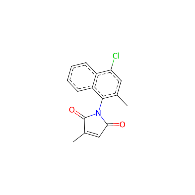 CC1=CC(=O)N(c2c(C)cc(Cl)c3ccccc23)C1=O